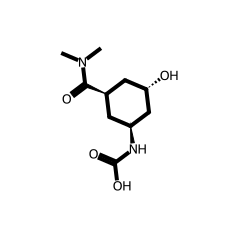 CN(C)C(=O)[C@H]1C[C@H](O)C[C@@H](NC(=O)O)C1